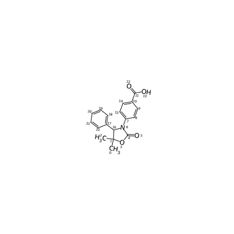 CC1(C)OC(=O)N(c2ccc(C(=O)O)cc2)C1c1ccccc1